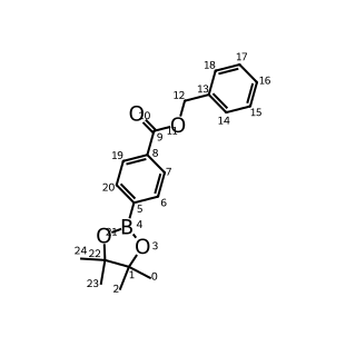 CC1(C)OB(c2ccc(C(=O)OCc3ccccc3)cc2)OC1(C)C